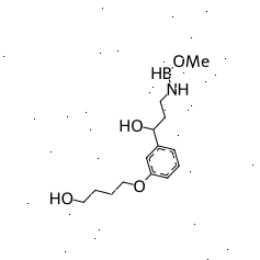 COBNCCC(O)c1cccc(OCCCCO)c1